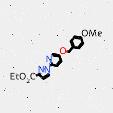 CCOC(=O)c1ccn(-c2ccc(OCc3ccc(OC)cc3)cn2)n1